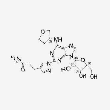 NC(=O)CCc1cnn(-c2nc(N[C@@H]3CCOC3)c3ncn([C@@H]4O[C@H](CO)[C@@H](O)[C@@H]4O)c3n2)c1